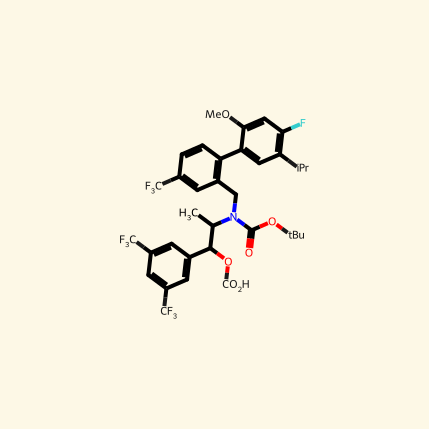 COc1cc(F)c(C(C)C)cc1-c1ccc(C(F)(F)F)cc1CN(C(=O)OC(C)(C)C)C(C)C(OC(=O)O)c1cc(C(F)(F)F)cc(C(F)(F)F)c1